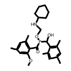 COc1cc(C)cc(C)c1C(=O)P(OCNC1CCCCC1)C(O)c1c(C)cc(C)cc1C